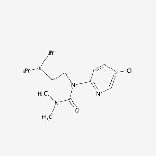 CC(C)N(CCN(C(=O)N(C)C)c1ccc(Cl)cn1)C(C)C